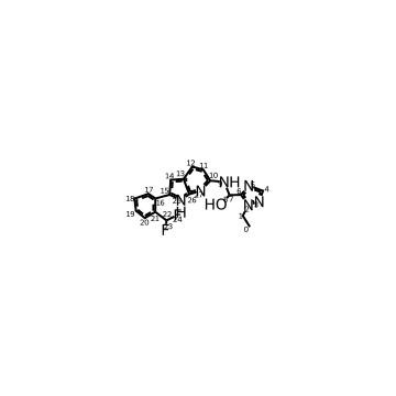 CCn1ncnc1C(O)Nc1ccc2cc(-c3ccccc3C(F)F)[nH]c2n1